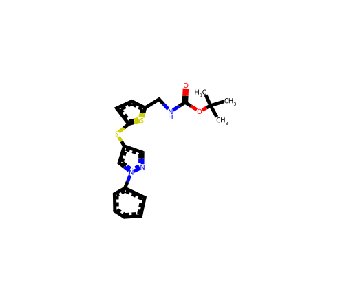 CC(C)(C)OC(=O)NCc1ccc(Sc2cnn(-c3ccccc3)c2)s1